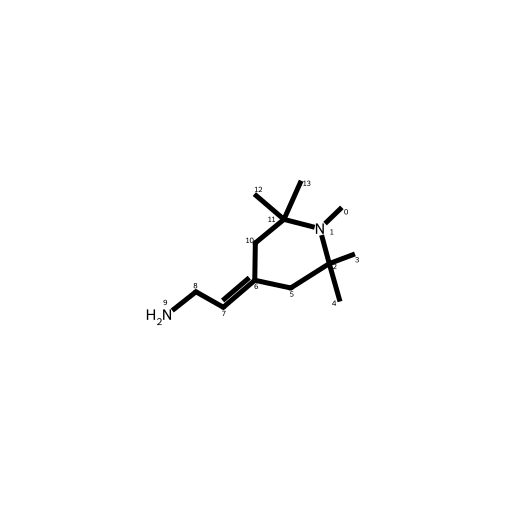 CN1C(C)(C)CC(=CCN)CC1(C)C